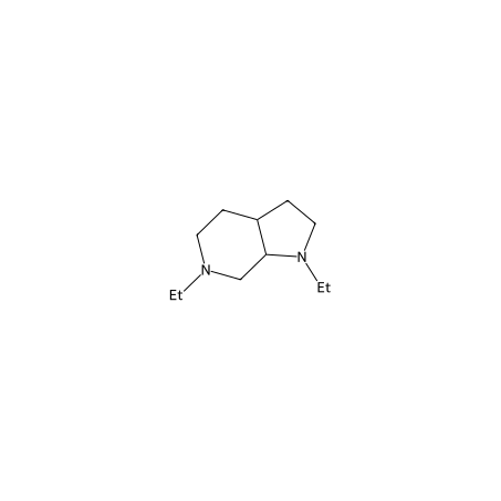 CCN1CCC2CCN(CC)C2C1